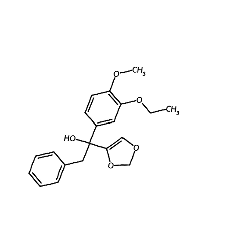 CCOc1cc(C(O)(Cc2ccccc2)C2=COCO2)ccc1OC